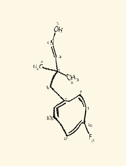 CC(C)(/C=N/O)Cc1ccc(F)cc1